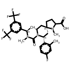 Cc1cc(F)ccc1[C@H]1C[C@@]2(CCC(C(=O)O)N2C)CCN1C(=O)N(C)[C@H](C)c1cc(C(F)(F)F)cc(C(F)(F)F)c1